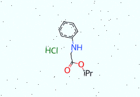 CC(C)OC(=O)CNc1ccccc1.Cl